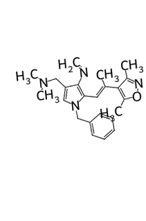 C=Nc1c(CN(C)C)cn(Cc2ccccc2)c1/C=C(\C)c1c(C)noc1C